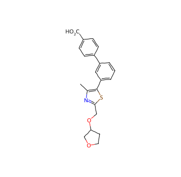 Cc1nc(COC2CCOC2)sc1-c1cccc(-c2ccc(C(=O)O)cc2)c1